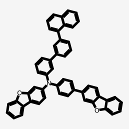 c1cc(-c2cccc(N(c3ccc(-c4ccc5c(c4)oc4ccccc45)cc3)c3ccc4c(c3)oc3ccccc34)c2)cc(-c2cccc3ccccc23)c1